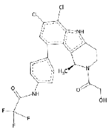 C[C@H]1c2c([nH]c3c(Cl)c(Cl)cc(-c4ccc(NC(=O)C(F)(F)F)cc4)c23)CCN1C(=O)CO